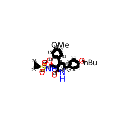 CCCCOc1ccc([C@]2(C)CC(c3ccc(OC)cc3)=C(C(=O)NS(=O)(=O)C3CC3)C(=O)N2)cc1